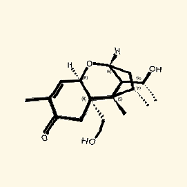 CC1=C[C@H]2O[C@@H]3C[C@H](C)[C@@](C)(C3[C@@H](C)O)[C@@]2(CO)CC1=O